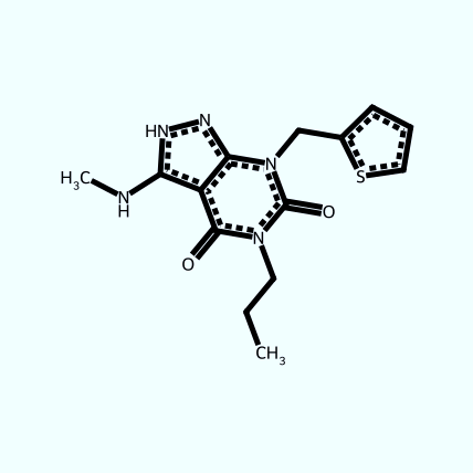 CCCn1c(=O)c2c(NC)[nH]nc2n(Cc2cccs2)c1=O